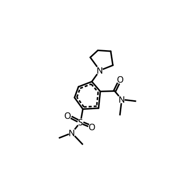 CN(C)C(=O)c1cc(S(=O)(=O)N(C)C)ccc1N1CCCC1